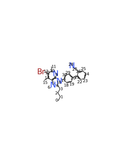 CCCCC1N(C)c2c(nc(C)c(Br)c2C)N1c1ccc(-c2ccccc2C#N)cc1